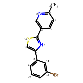 FC(F)(F)c1ccc(-c2nc(-c3cccc(Br)c3)cs2)cn1